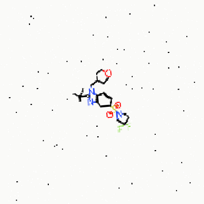 CC(C)(C)c1nc2cc(S(=O)(=O)N3CCC(F)(F)C3)ccc2n1CC1CCOCC1